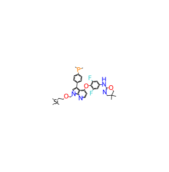 CP(C)c1ccc(-c2cn(COCC[Si](C)(C)C)c3nccc(Oc4c(F)cc(NC5=NCC(C)(C)CO5)cc4F)c23)cc1